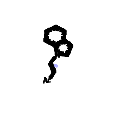 CC(=O)/C=C/n1ccc2ccccc21